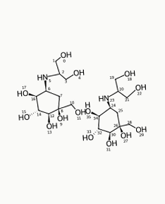 OCC(CO)N[C@H]1C[C@](O)(CO)[C@@H](O)[C@H](O)[C@H]1O.OCC(CO)N[C@H]1C[C@](O)(CO)[C@@H](O)[C@H](O)[C@H]1O